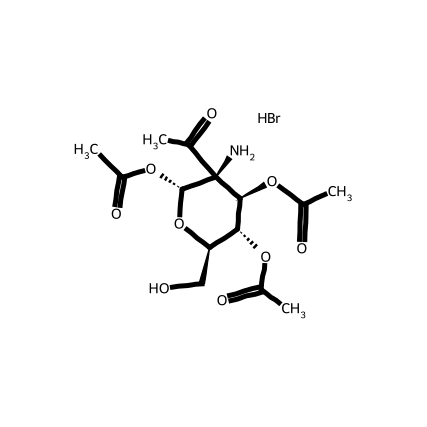 Br.CC(=O)O[C@@H]1[C@@H](CO)O[C@H](OC(C)=O)[C@](N)(C(C)=O)[C@H]1OC(C)=O